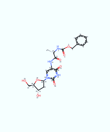 C[C@H](NC(=O)OCc1ccccc1)C(=O)Nc1cn([C@H]2C[C@H](O)[C@@H](CO)O2)c(=O)[nH]c1=O